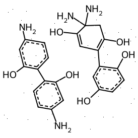 NC1(N)CC(O)=C(c2cc(O)ccc2O)C=C1O.Nc1ccc(-c2ccc(N)cc2O)c(O)c1